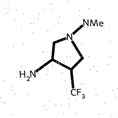 CNN1CC(N)C(C(F)(F)F)C1